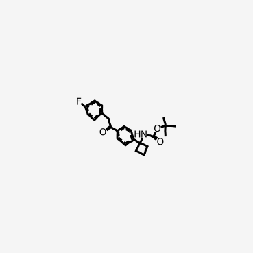 CC(C)(C)OC(=O)NC1(c2ccc(C(=O)Cc3ccc(F)cc3)cc2)CCC1